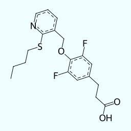 CCCCSc1ncccc1COc1c(F)cc(CCC(=O)O)cc1F